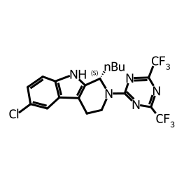 CCCC[C@H]1c2[nH]c3ccc(Cl)cc3c2CCN1c1nc(C(F)(F)F)nc(C(F)(F)F)n1